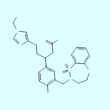 CCn1cnc(CCC(CC(=O)O)c2ccc(C)c(CN3C[C@@H](C)Oc4ccccc4S3(=O)=O)c2)c1